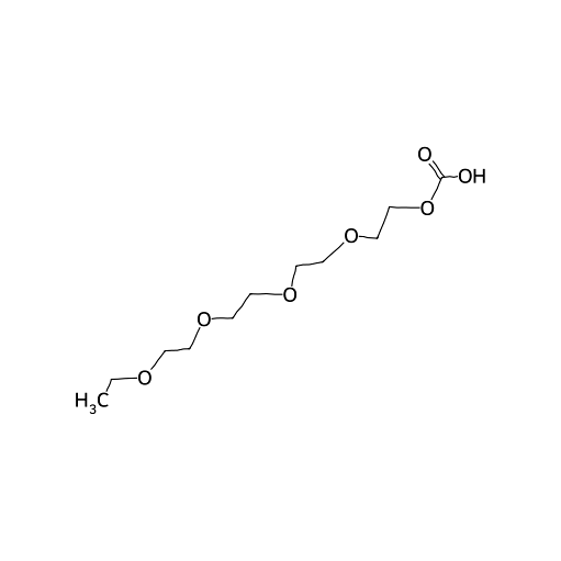 CCOCCOCCOCCOCCOC(=O)O